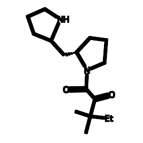 CCC(C)(C)C(=O)C(=O)N1CCC[C@H]1CC1CCCN1